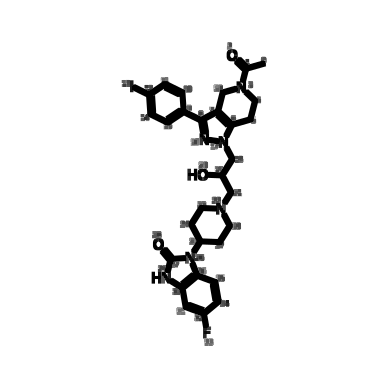 CC(=O)N1CCc2c(c(-c3ccc(I)cc3)nn2CC(O)CN2CCC(n3c(=O)[nH]c4cc(F)ccc43)CC2)C1